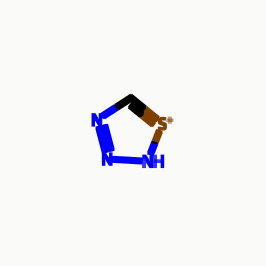 c1nn[nH][s+]1